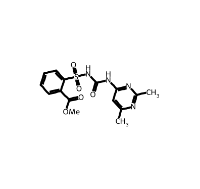 COC(=O)c1ccccc1S(=O)(=O)NC(=O)Nc1cc(C)nc(C)n1